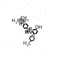 CC1CCN(c2ccc(O)cc2NS(=O)(=O)c2ccc(S(=O)(=O)N(C)C)cc2)CC1